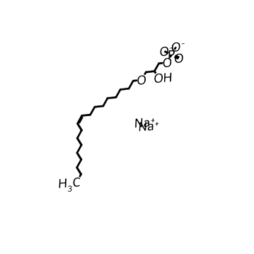 CCCCCCCC/C=C\CCCCCCCCOCC(O)COP(=O)([O-])[O-].[Na+].[Na+]